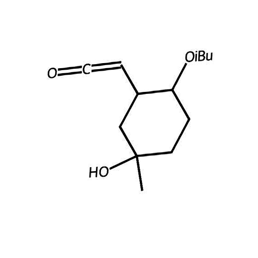 CC(C)COC1CCC(C)(O)CC1C=C=O